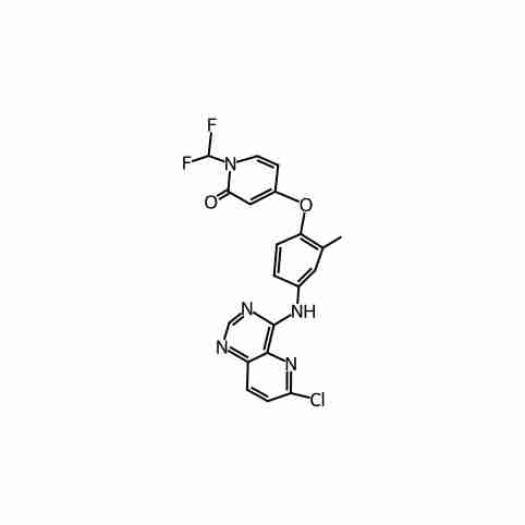 Cc1cc(Nc2ncnc3ccc(Cl)nc23)ccc1Oc1ccn(C(F)F)c(=O)c1